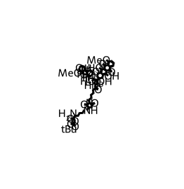 COc1cccc2c1C(=O)c1c(O)c3c(c(O)c1C2=O)C[C@@](O)(/C(CO)=N/NC(=O)CCCCCN1C(=O)CC(NCCCC[C@H](N)C(=O)OC(=O)OC(C)(C)C)C1=O)C[C@@H]3O[C@H]1C[C@H]2[C@H](O[C@@H]3[C@@H](OC)OCCN32)[C@H](C)O1